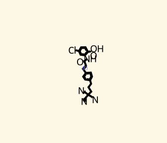 N#CC(C#N)(C#N)CCCc1ccc(/C=C/C(=O)Nc2cc(Cl)ccc2C(=O)O)cc1